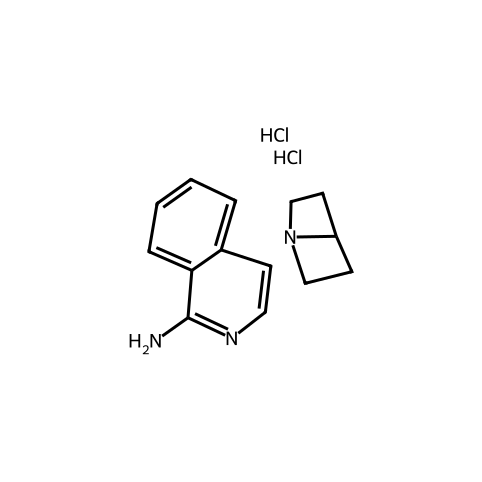 C1CN2CCC12.Cl.Cl.Nc1nccc2ccccc12